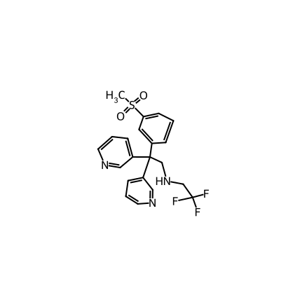 CS(=O)(=O)c1cccc(C(CNCC(F)(F)F)(c2cccnc2)c2cccnc2)c1